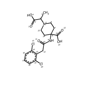 CC(C(=O)O)N1CCC(NC(=O)Cc2c(Cl)cccc2Cl)(C(=O)O)CC1